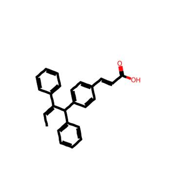 CC=C(c1ccccc1)C(c1ccccc1)c1ccc(C=CC(=O)O)cc1